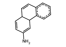 NC1=CC2c3ccccc3C=CC2C=C1